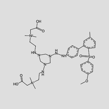 COc1ccc(S(=O)(=O)c2ccc(C)cc2-c2ccc(NNN3CN(NCC[N+](C)(C)CC(=O)O)CN(NCC[N+](C)(C)CC(=O)O)C3)cc2)cc1